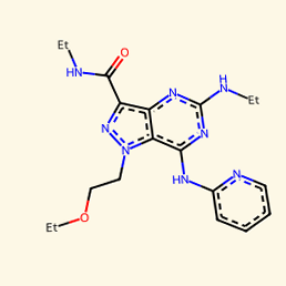 CCNC(=O)c1nn(CCOCC)c2c(Nc3ccccn3)nc(NCC)nc12